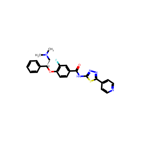 CN(C)C[C@H](Oc1ccc(C(=O)Nc2nnc(-c3ccncc3)s2)cc1F)c1ccccc1